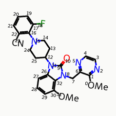 COc1nccnc1Cn1c(=O)n(C2CCN(c3c(F)cccc3C#N)CC2)c2cccc(OC)c21